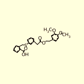 COc1ccc(CCOC(=O)Cc2cccc(SCc3ccccc3C(=O)O)c2)cc1OC